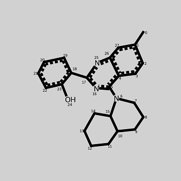 Cc1ccc2c(N3CCCC4CCCCC43)nc(-c3ccccc3O)nc2c1